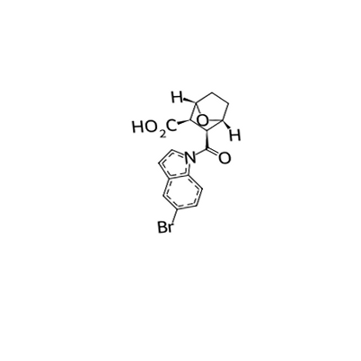 O=C(O)[C@@H]1[C@H](C(=O)n2ccc3cc(Br)ccc32)[C@H]2CC[C@@H]1O2